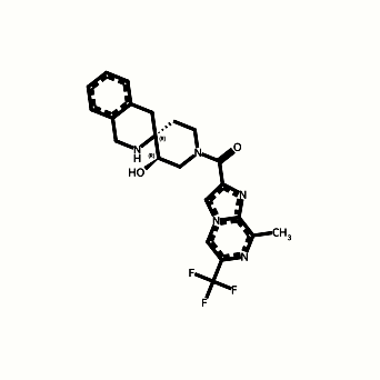 Cc1nc(C(F)(F)F)cn2cc(C(=O)N3CC[C@]4(Cc5ccccc5CN4)[C@H](O)C3)nc12